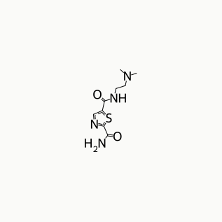 CN(C)CCNC(=O)c1cnc(C(N)=O)s1